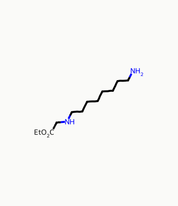 CCOC(=O)CNCCCCCCCCN